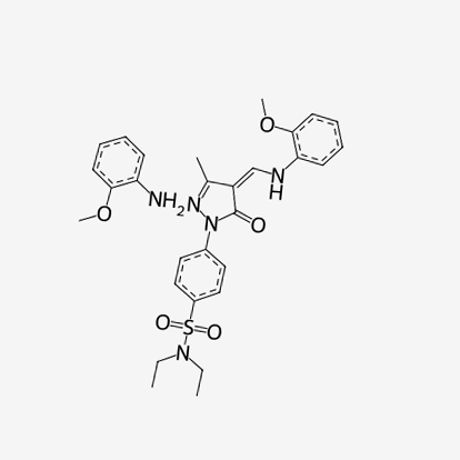 CCN(CC)S(=O)(=O)c1ccc(N2N=C(C)C(=CNc3ccccc3OC)C2=O)cc1.COc1ccccc1N